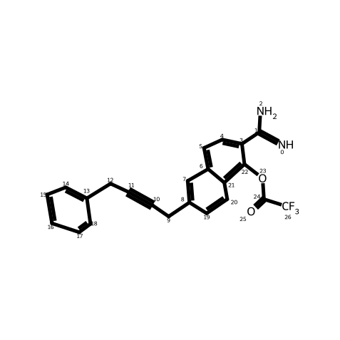 N=C(N)c1ccc2cc(CC#CCc3ccccc3)ccc2c1OC(=O)C(F)(F)F